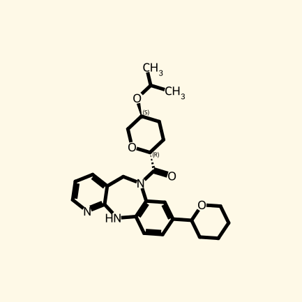 CC(C)O[C@H]1CC[C@H](C(=O)N2Cc3cccnc3Nc3ccc(C4CCCCO4)cc32)OC1